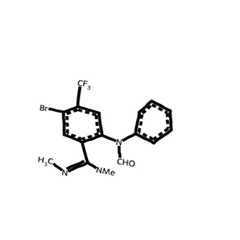 C/N=C(/NC)c1cc(Br)c(C(F)(F)F)cc1N(C=O)c1ccccc1